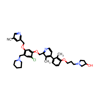 Cc1c(OCCCN2CCC(O)C2)cccc1-c1ccnc(COc2cc(OCc3cncc(C#N)c3)c(CN3CCCCC3)cc2Cl)c1C